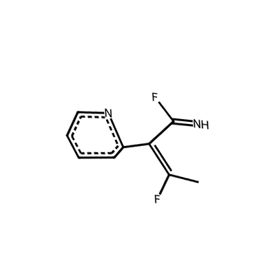 CC(F)=C(C(=N)F)c1ccccn1